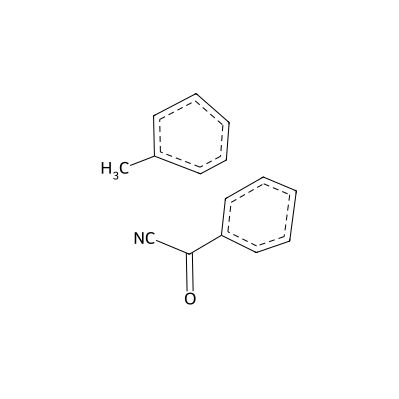 Cc1ccccc1.N#CC(=O)c1ccccc1